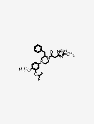 COc1ccc(N2CCN(C(=O)Cc3n[nH]c(C)n3)C(Cc3ccccc3)C2)cc1OC(F)F